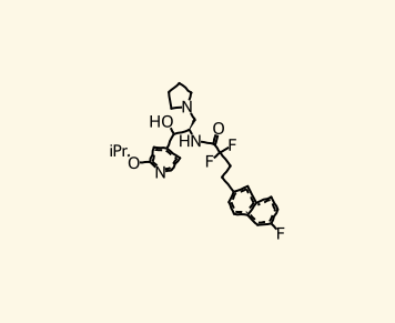 CC(C)Oc1cc(C(O)[C@@H](CN2CCCC2)NC(=O)C(F)(F)CCc2ccc3cc(F)ccc3c2)ccn1